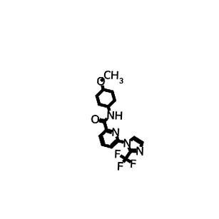 COC1CCC(NC(=O)c2cccc(-n3ccnc3C(F)(F)F)n2)CC1